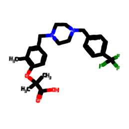 Cc1cc(CN2CCN(Cc3ccc(C(F)(F)F)cc3)CC2)ccc1OC(C)(C)C(=O)O